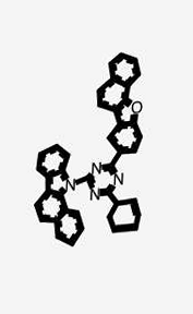 C1=CCC(c2nc(-c3ccc4oc5c6ccccc6ccc5c4c3)nc(-n3c4ccccc4c4ccc5ccccc5c43)n2)C=C1